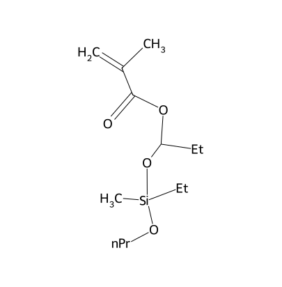 C=C(C)C(=O)OC(CC)O[Si](C)(CC)OCCC